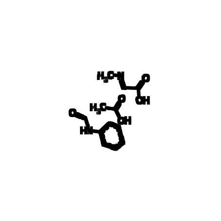 CC(=O)O.CN=CC(=O)O.O=CNc1ccccc1